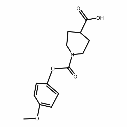 COc1ccc(OC(=O)N2CCC(C(=O)O)CC2)cc1